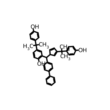 CC(C)(C1=CC(C(c2ccc(-c3ccccc3)cc2)c2cc(C(C)(C)c3ccc(O)cc3)ccc2O)C=C1)c1ccc(O)cc1